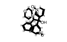 [O-][n+]1cccc(C(O)(c2ccc[n+]([O-])c2)C(c2ccccc2)[N+]2([O-])CCOCC2)c1